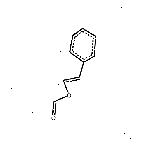 O=[C]OC=Cc1ccccc1